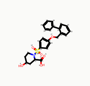 O=C(O)C1CC(O)CCN1S(=O)(=O)c1ccc(OCc2ccccc2-c2ccccc2)cc1